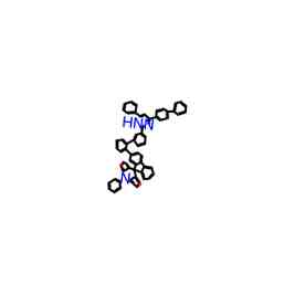 C1=C(c2ccccc2)NC(c2cccc(-c3ccccc3-c3ccc4c(c3)C3(c5ccccc5-4)c4ccccc4N(c4ccccc4)c4ccccc43)c2)N=C1c1ccc(-c2ccccc2)cc1